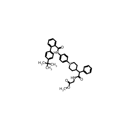 COC(=O)CNC(=O)C(c1ccccc1)C1CCN(c2ccc(NC(=O)c3ccccc3-c3ccc(C(C)(C)C)cc3)cc2)CC1